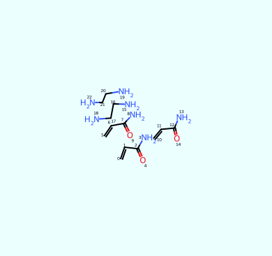 C=CC(N)=O.C=CC(N)=O.C=CC(N)=O.NCCN.NCCN